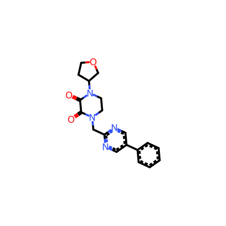 O=C1C(=O)N(C2CCOC2)CCN1Cc1ncc(-c2ccccc2)cn1